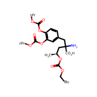 CCCOC(=O)Oc1ccc(CC(N)(C[C@H](C)OC(=O)OCC(C)CC)C(=O)O)cc1OC(=O)OCCC